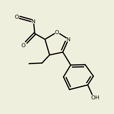 CCC1C(c2ccc(O)cc2)=NOC1C(=O)N=O